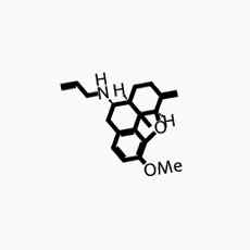 C=CCN[C@H]1Cc2ccc(OC)c3c2C2(C)[C@H](O3)C(=C)CC[C@H]12